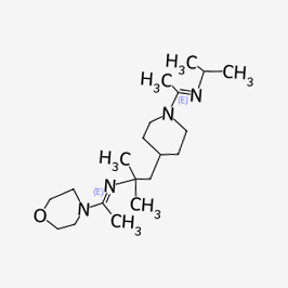 C/C(=N\C(C)C)N1CCC(CC(C)(C)/N=C(\C)N2CCOCC2)CC1